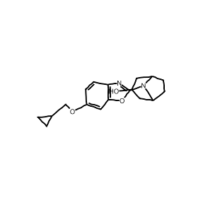 OC1CC2CCC(C1)N2c1nc2ccc(OCC3CC3)cc2o1